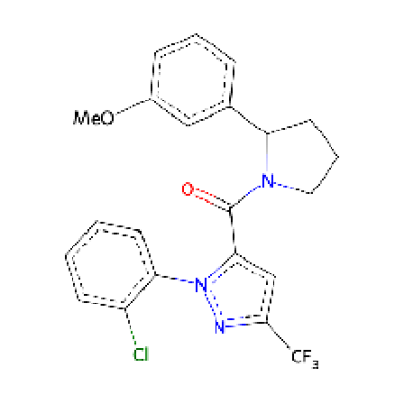 COc1cccc(C2CCCN2C(=O)c2cc(C(F)(F)F)nn2-c2ccccc2Cl)c1